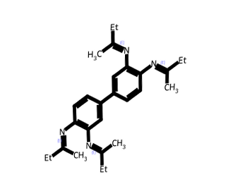 CC/C(C)=N/c1ccc(-c2ccc(/N=C(\C)CC)c(/N=C(\C)CC)c2)cc1/N=C(\C)CC